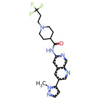 Cn1nccc1-c1cnc2cnc(NC(=O)C3CCN(CCC(F)(F)F)CC3)cc2c1